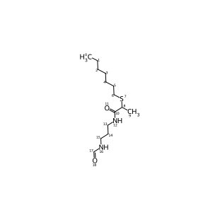 CCCCCCCSC(C)C(=O)NCCCNC=O